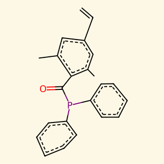 C=Cc1cc(C)c(C(=O)P(c2ccccc2)c2ccccc2)c(C)c1